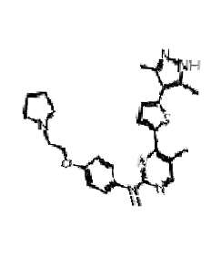 Cc1cnc(Nc2ccc(OCCN3CCCC3)cc2)nc1-c1ccc(-c2c(C)n[nH]c2C)s1